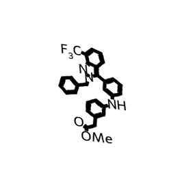 COC(=O)Cc1cccc(Nc2cccc(-c3c4cccc(C(F)(F)F)c4nn3Cc3ccccc3)c2)c1